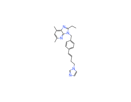 CCc1nc2c(C)cc(C)nc2n1Cc1ccc(/C=C/CCn2ccnc2)cc1